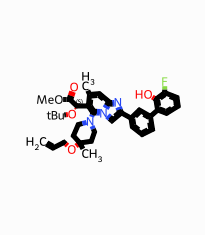 C=CCOC1(C)CCN(c2c([C@H](OC(C)(C)C)C(=O)OC)c(C)cc3nc(-c4cccc(-c5cccc(F)c5O)c4)cn23)CC1